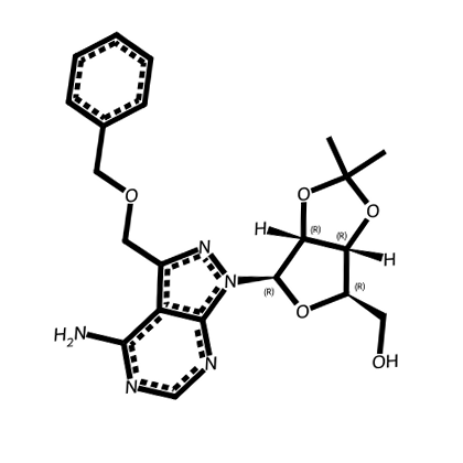 CC1(C)O[C@@H]2[C@H](O1)[C@@H](CO)O[C@H]2n1nc(COCc2ccccc2)c2c(N)ncnc21